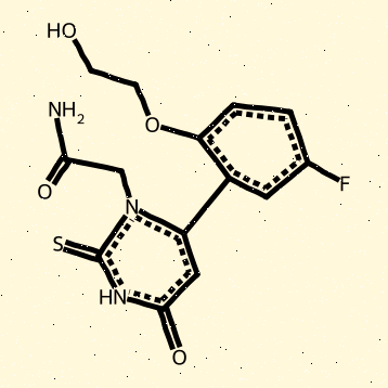 NC(=O)Cn1c(-c2cc(F)ccc2OCCO)cc(=O)[nH]c1=S